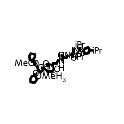 COC1(OC[C@H]2O[C@@H](n3cc(C)c(=O)n(CCCNC(=O)CNC(=O)C4CN4S(=O)(=O)c4c(C(C)C)cc(C(C)C)cc4C(C)C)c3=O)C[C@@H]2OC2(OC)CCCCC2)CCCCC1